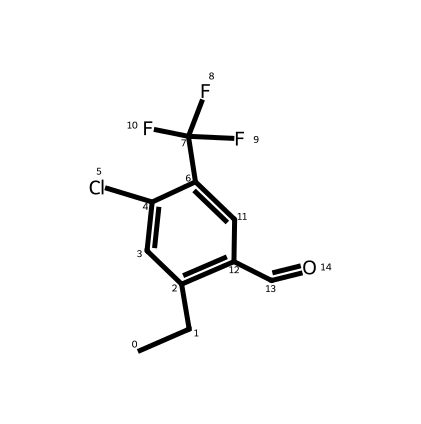 CCc1cc(Cl)c(C(F)(F)F)cc1C=O